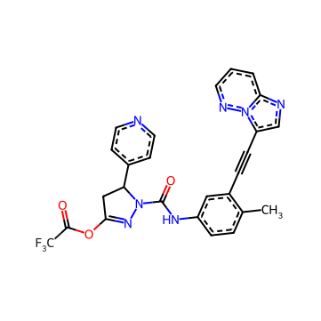 Cc1ccc(NC(=O)N2N=C(OC(=O)C(F)(F)F)CC2c2ccncc2)cc1C#Cc1cnc2cccnn12